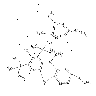 COc1cnc(N)c(OC)n1.COc1cnc(Nc2cc(C(C)(C)C)c(O)c(C(C)(C)C)c2)c(OC)n1